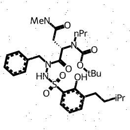 CCCN(C(=O)OC(C)(C)C)[C@@H](CC(=O)NC)C(=O)N(Cc1ccccc1)NS(=O)(=O)c1cccc(CCC(C)C)c1O